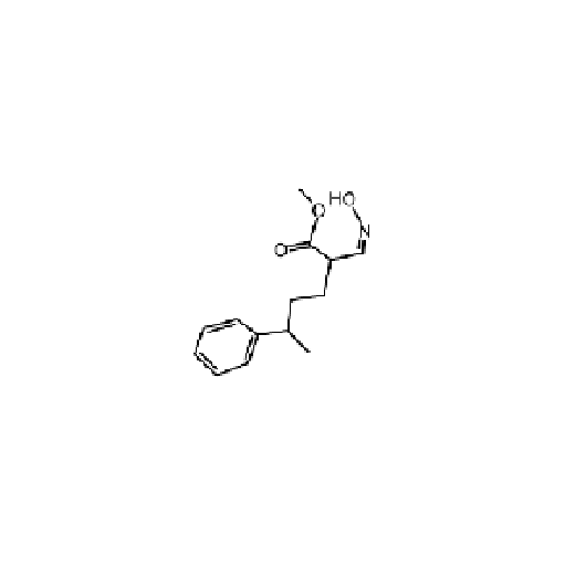 COC(=O)C(/C=N\O)CCC(C)c1ccccc1